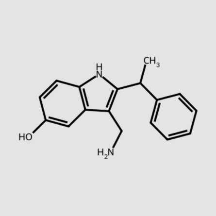 CC(c1ccccc1)c1[nH]c2ccc(O)cc2c1CN